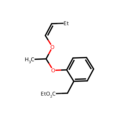 CC/C=C\OC(C)Oc1ccccc1CC(=O)OCC